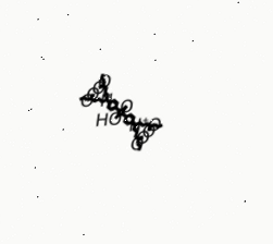 CCOC(=O)CCCN(CCCC(=O)OCC)c1ccc(C2=C(O)C(C3C=CC(=[N+](CCCC(=O)OCC)CCCC(=O)OCC)C=C3)C2=O)cc1